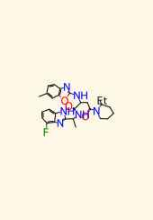 CC[C@H]1CCCCN1C(=O)CC(Nc1nc2ccc(C)cc2o1)C(=O)NC(C)c1nc2c(F)cccc2[nH]1